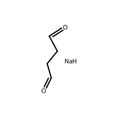 O=CCCC=O.[NaH]